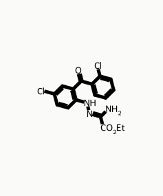 CCOC(=O)/C(N)=N/Nc1ccc(Cl)cc1C(=O)c1ccccc1Cl